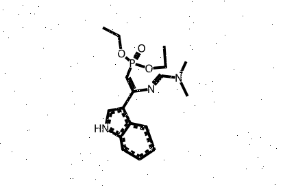 CCOP(=O)(C=C(N=CN(C)C)c1c[nH]c2ccccc12)OCC